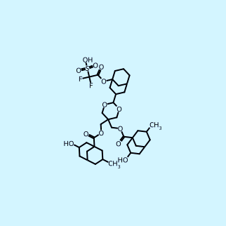 CC1CC2CC(O)CC(C(=O)OCC3(COC(=O)C45CC(C)CC(CC(O)C4)C5)COC(C4CC5CCCC(OC(=O)C(F)(F)S(=O)(=O)O)(C5)C4)OC3)(C1)C2